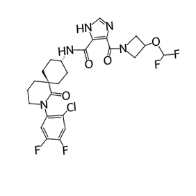 O=C(N[C@H]1CC[C@@]2(CCCN(c3cc(F)c(F)cc3Cl)C2=O)CC1)c1[nH]cnc1C(=O)N1CC(OC(F)F)C1